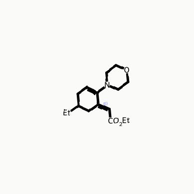 CCOC(=O)/C=C1\CC(CC)CC=C1N1CCOCC1